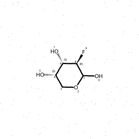 OC1OC[C@H](O)[C@H](O)[C@H]1F